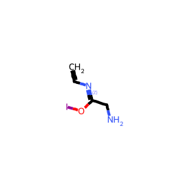 C=C/N=C(/CN)OI